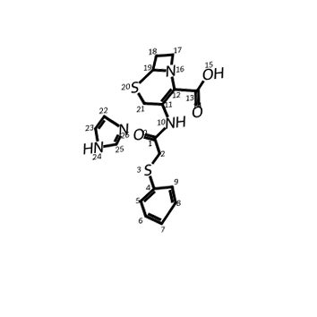 O=C(CSc1ccccc1)NC1=C(C(=O)O)N2CCC2SC1.c1c[nH]cn1